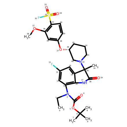 CCN(C(=O)OC(C)(C)C)c1cc(F)cc2c1NC(=O)C2(C)N1CCC[C@@H](Oc2ccc(S(=O)(=O)F)c(OC)c2)C1